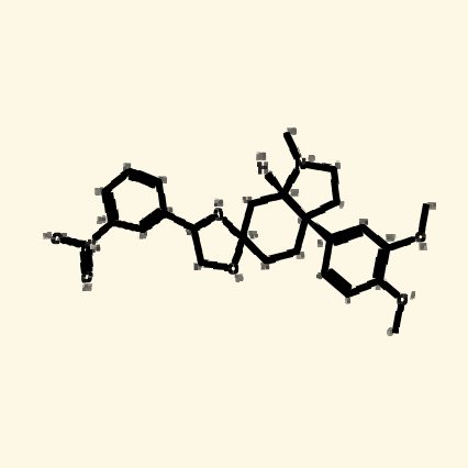 COc1ccc([C@]23CCN(C)[C@H]2CC2(CC3)OCC(c3cccc([N+](=O)[O-])c3)O2)cc1OC